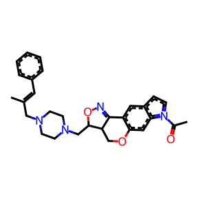 CC(=O)n1ccc2cc3c(cc21)OCC1C3=NOC1CN1CCN(CC(C)=Cc2ccccc2)CC1